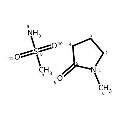 CN1CCCC1=O.CS(N)(=O)=O